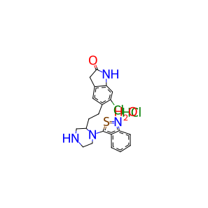 Cl.O.O=C1Cc2cc(CCC3CNCCN3c3snc4ccccc34)c(Cl)cc2N1